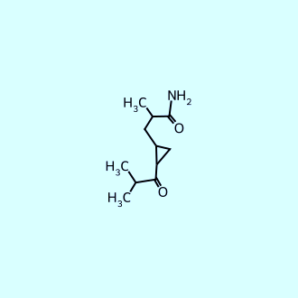 CC(C)C(=O)C1CC1CC(C)C(N)=O